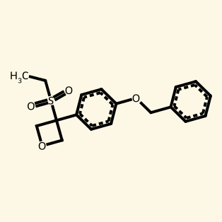 CCS(=O)(=O)C1(c2ccc(OCc3ccccc3)cc2)COC1